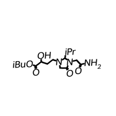 CC(C)COC(=O)C(O)CCN1CC(=O)N(CC(N)=O)C1C(C)C